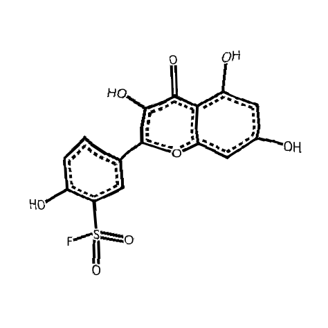 O=c1c(O)c(-c2ccc(O)c(S(=O)(=O)F)c2)oc2cc(O)cc(O)c12